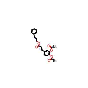 CCC(=O)Oc1ccc(/C=C/C(=O)OC/C=C/c2ccccc2)cc1OC(=O)CC